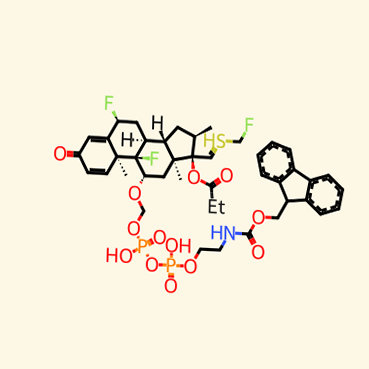 CCC(=O)O[C@]1(C=[SH]CF)[C@H](C)C[C@H]2[C@@H]3C[C@H](F)C4=CC(=O)C=C[C@]4(C)[C@@]3(F)[C@@H](OCOP(=O)(O)OP(=O)(O)OCCNC(=O)OCC3c4ccccc4-c4ccccc43)C[C@@]21C